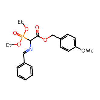 CCOP(=O)(OCC)C(N=Cc1ccccc1)C(=O)OCc1ccc(OC)cc1